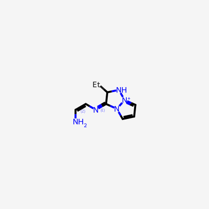 CCC1N[n+]2cccn2/C1=N/C=C\N